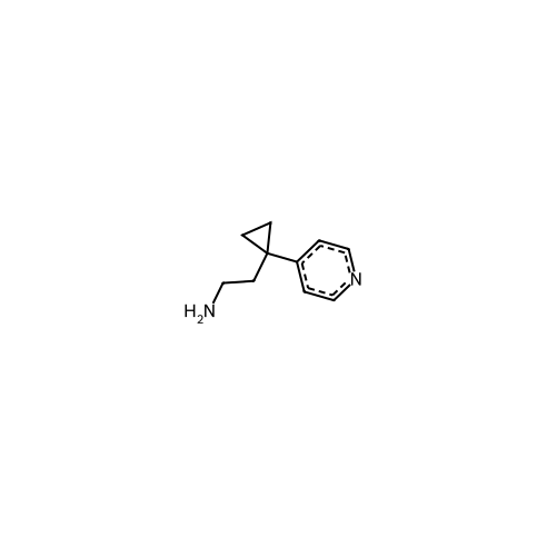 NCCC1(c2ccncc2)CC1